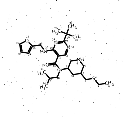 CCSCC1CNCC(N(CC(C)C)C(=O)c2cnc(C(C)(C)C)nc2NCc2ccco2)C1